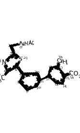 CC(=O)NCc1nc(C)c(-c2cccc(-c3ccc(C(=O)O)c(O)c3)c2)s1